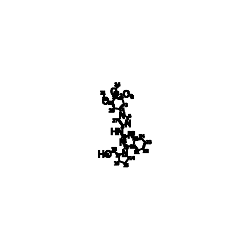 COc1cc(-n2cnc(Nc3nc(N4CCCC4CO)c4ccccc4n3)c2)cc(OC)c1OC